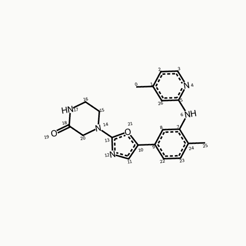 Cc1ccnc(Nc2cc(-c3cnc(N4CCNC(=O)C4)o3)ccc2C)c1